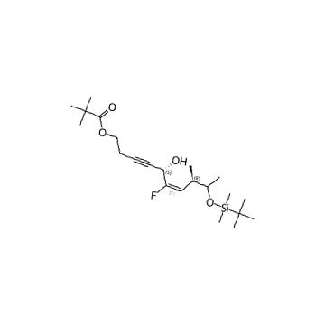 CC(O[Si](C)(C)C(C)(C)C)[C@H](C)/C=C(/F)[C@@H](O)C#CCCOC(=O)C(C)(C)C